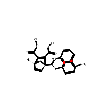 COC(=O)C1=C(C(=O)OC)[C@@]2([C@@H](Cc3ccc(C)cc3)Nc3ccccc3)C=C[C@@H]1O2